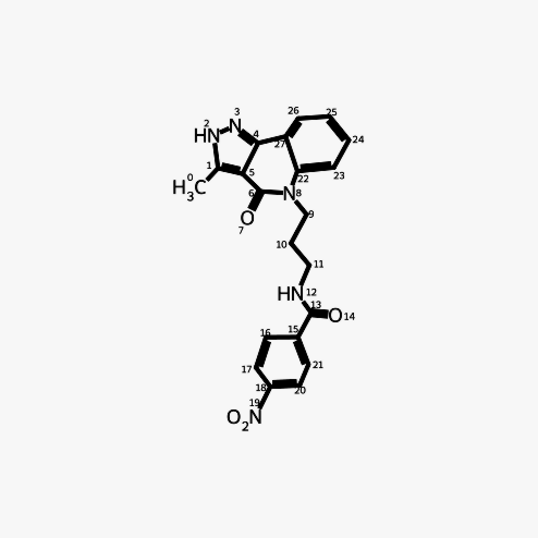 Cc1[nH]nc2c1c(=O)n(CCCNC(=O)c1ccc([N+](=O)[O-])cc1)c1ccccc21